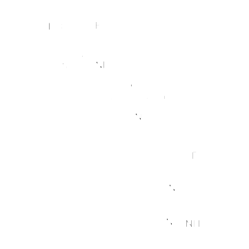 CC(F)C(=S)NC[C@H]1CN(c2ccc(N3C=NNCC3)c(F)c2)C(=O)O1